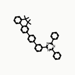 CC1(C)c2ccccc2-c2ccc(-c3ccc(-c4cccc(-c5nc(-c6ccccc6)nc(-c6ccccc6)n5)c4)cc3)cc2C1(C)C